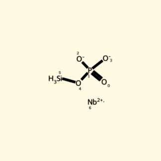 O=P([O-])([O-])O[SiH3].[Nb+2]